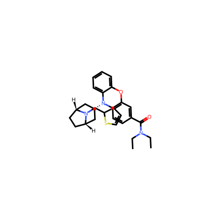 CCN(CC)C(=O)c1ccc2c(c1)Oc1ccccc1N2[C@H]1C[C@H]2CC[C@@H](C1)N2CC1CC=CS1